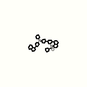 c1ccc(-c2nc3c(ccc4cccc(-c5ccc(-c6ccc(N(c7ccccc7)c7ccc(-c8cccc9ccccc89)cc7)cc6)cc5)c43)o2)cc1